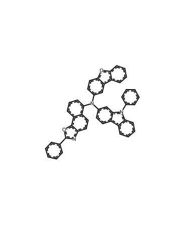 c1ccc(-c2nc3ccc4c(N(c5ccc6oc7ccccc7c6c5)c5ccc6c7ccccc7n(-c7ccccc7)c6c5)cccc4c3o2)cc1